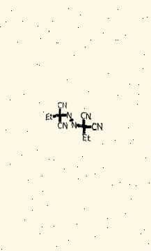 CCC(C#N)(C#N)N=NC(C#N)(C#N)CC